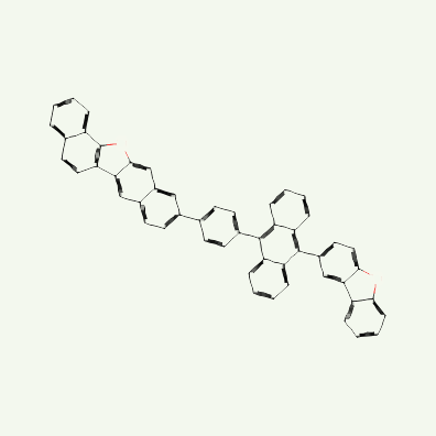 c1ccc2c(c1)ccc1c3cc4ccc(-c5ccc(-c6c7ccccc7c(-c7ccc8oc9ccccc9c8c7)c7ccccc67)cc5)cc4cc3oc21